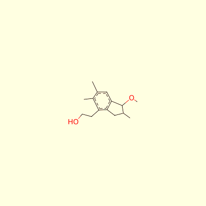 COC1c2cc(C)c(C)c(CCO)c2CC1C